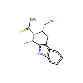 CSC(=S)N1[C@H](CO)Cc2c([nH]c3ccccc23)[C@@H]1C